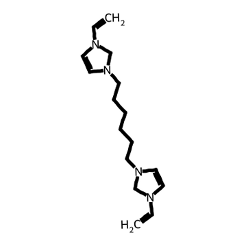 C=CN1C=CN(CCCCCCN2C=CN(C=C)C2)C1